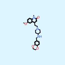 COc1ccc2c(c1)c(CCN1CCC(NCc3ccc4c(c3)OCCO4)CC1)cc(=O)n2C